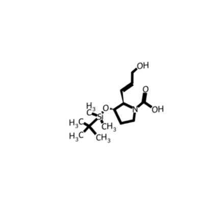 CC(C)(C)[Si](C)(C)O[C@H]1CCN(C(=O)O)[C@@H]1/C=C/CO